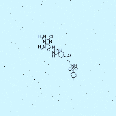 Cc1ccc(S(=O)(=O)NCCCC(=O)N2CCC3(CC2)CN/C(=N\C(=O)c2nc(Cl)c(N)nc2N)N3)cc1